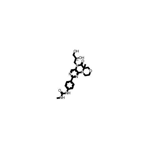 CNC(=O)Nc1ccc(-c2ncc3c(n2)N2CCOCC2(C)C(=O)N3C[C@H](O)CO)cc1